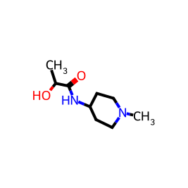 CC(O)C(=O)NC1CCN(C)CC1